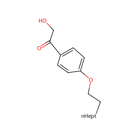 CCCCCCCCCOc1ccc(C(=O)CO)cc1